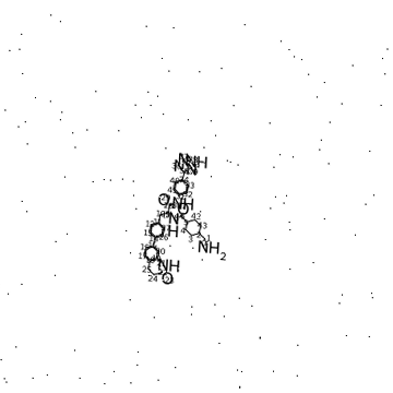 NCC1CCC(C(=O)N[C@@H](Cc2ccc(-c3ccc4c(c3)NC(=O)CC4)cc2)C(=O)Nc2ccc(-c3nn[nH]n3)cc2)CC1